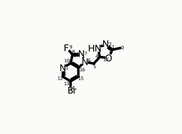 CC1=NNC(Cn2nc(F)c3ncc(Br)cc32)O1